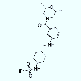 CC(C)S(=O)(=O)N[C@H]1CC[C@H](CNc2cccc(C(=O)N3C[C@@H](C)O[C@@H](C)C3)c2)CC1